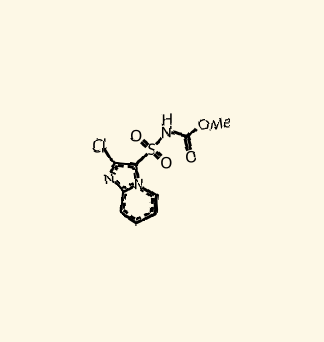 COC(=O)NS(=O)(=O)c1c(Cl)nc2ccccn12